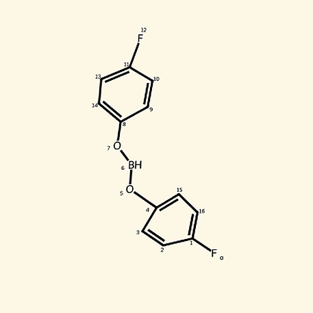 Fc1ccc(OBOc2ccc(F)cc2)cc1